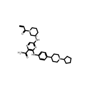 C=CC(=O)N1CCC[C@@H](Nc2cnc(C(N)=O)c(Nc3ccc(C4CCN(C5CCCC5)CC4)cc3)n2)C1